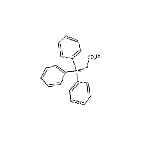 [CH2]COC(=O)C[PH](c1ccccc1)(c1ccccc1)c1ccccc1